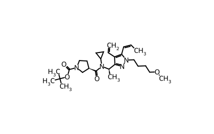 C=Cc1c([C@@H](C)N(C(=O)[C@@H]2CCN(C(=O)OC(C)(C)C)C2)C2CC2)nn(CCCCOC)c1/C=C\C